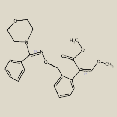 CO/C=C(\C(=O)OC)c1ccccc1CO/N=C(\c1ccccc1)N1CCOCC1